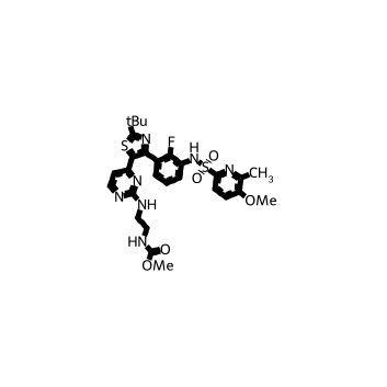 COC(=O)NCCNc1nccc(-c2sc(C(C)(C)C)nc2-c2cccc(NS(=O)(=O)c3ccc(OC)c(C)n3)c2F)n1